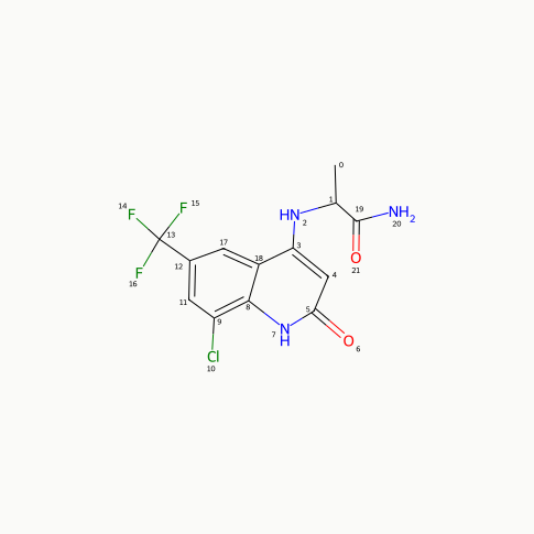 CC(Nc1cc(=O)[nH]c2c(Cl)cc(C(F)(F)F)cc12)C(N)=O